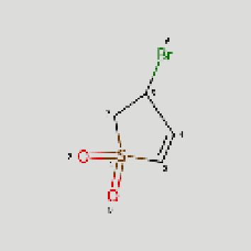 O=S1(=O)C=CC(Br)C1